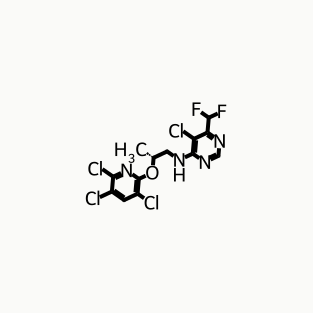 C[C@H](CNc1ncnc(C(F)F)c1Cl)Oc1nc(Cl)c(Cl)cc1Cl